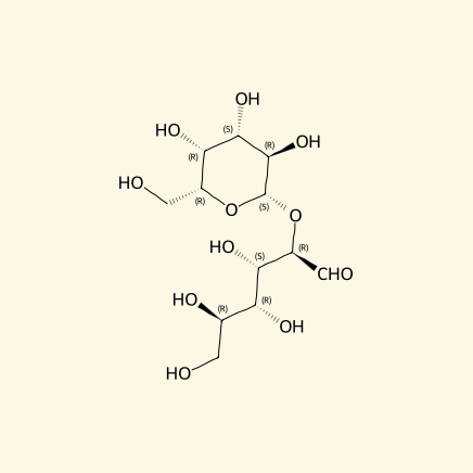 O=C[C@H](O[C@@H]1O[C@H](CO)[C@H](O)[C@H](O)[C@H]1O)[C@@H](O)[C@H](O)[C@H](O)CO